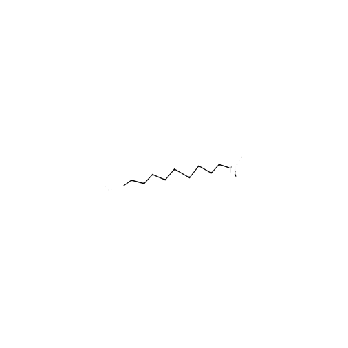 CCCCCCCCCCCCCCCCCCN(C)C(C)=O